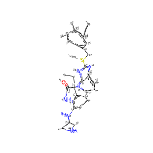 CCC(C(N)=O)(c1cc(NC2CNC2)ccc1C)n1cccc2nc(SCc3cc(C)c(C)c(C)c3)nc1-2